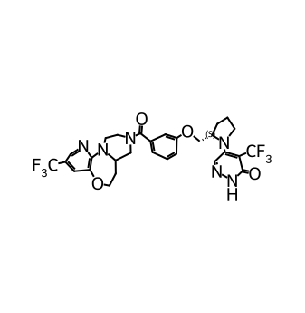 O=C(c1cccc(OC[C@@H]2CCCN2c2cn[nH]c(=O)c2C(F)(F)F)c1)N1CCN2c3ncc(C(F)(F)F)cc3OCCC2C1